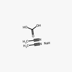 CC#N.CC#N.O=C(O)O.[NaH]